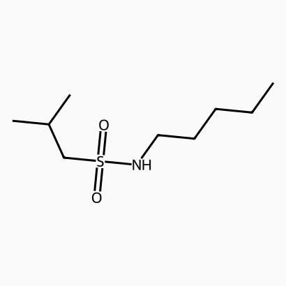 CCCCCNS(=O)(=O)CC(C)C